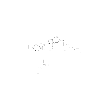 Cc1c(-c2cc3cc(F)cc(C4CCN(C(=O)C5CCCCC5)CC4)c3n2CC2CC2)nn2cc(C(=O)N3CCC[C@@H](N)C3)ccc12